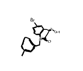 Cc1cccc(CN2C(=O)/C(=N\O)c3cc(Br)ccc32)c1